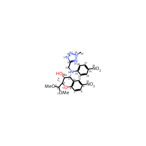 COC(OC)[C@]1(C)Oc2ccc([N+](=O)[O-])cc2[C@@H](N(Cc2nnn(C)n2)c2ccc([N+](=O)[O-])cc2)[C@@H]1O